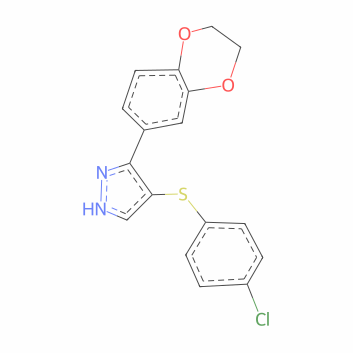 Clc1ccc(Sc2c[nH]nc2-c2ccc3c(c2)OCCO3)cc1